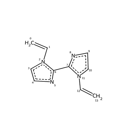 C=Cn1ccnc1-c1nccn1C=C